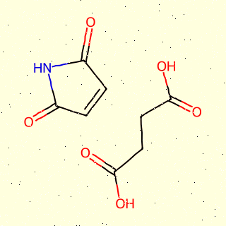 O=C(O)CCC(=O)O.O=C1C=CC(=O)N1